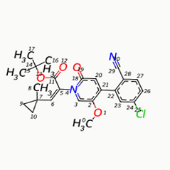 COc1cn(/C(=C/C2(C)CC2)C(=O)OC(C)(C)C)c(=O)cc1-c1cc(Cl)ccc1C#N